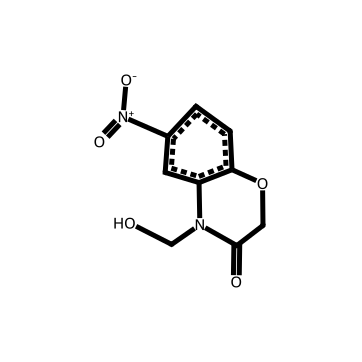 O=C1COc2ccc([N+](=O)[O-])cc2N1CO